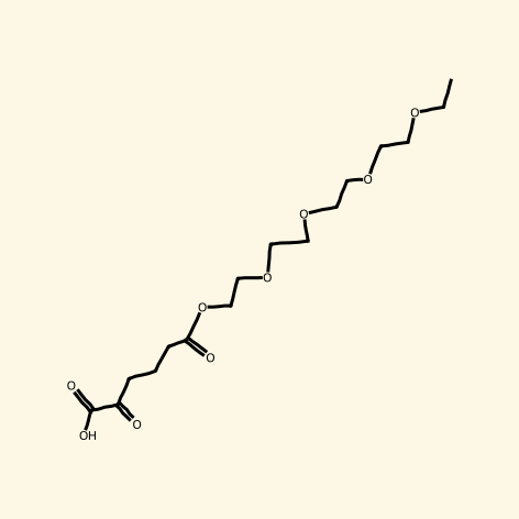 CCOCCOCCOCCOCCOC(=O)CCCC(=O)C(=O)O